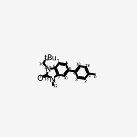 Cc1ccc(-c2ccc3c(c2)n(C)c(=O)n3CC(C)(C)C)cc1